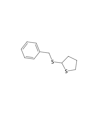 c1ccc(CSC2CCCS2)cc1